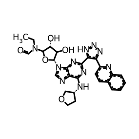 CCN(C=O)C1O[C@@H](n2cnc3c(N[C@@H]4CCOC4)nc(-c4[nH]nnc4-c4ccc5ccccc5n4)nc32)C(O)[C@H]1O